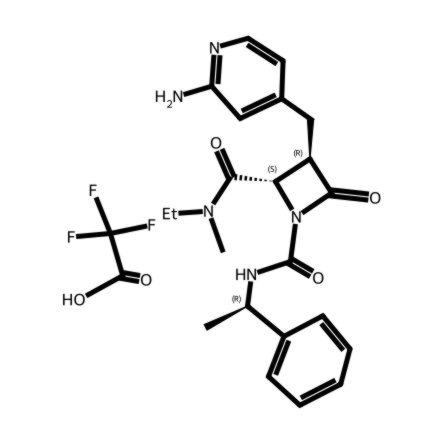 CCN(C)C(=O)[C@@H]1[C@@H](Cc2ccnc(N)c2)C(=O)N1C(=O)N[C@H](C)c1ccccc1.O=C(O)C(F)(F)F